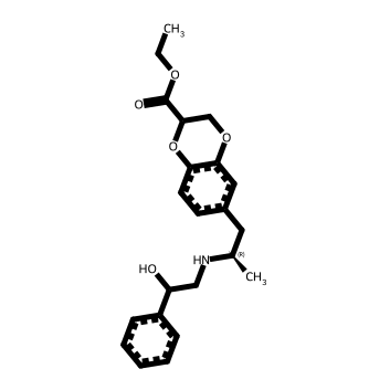 CCOC(=O)C1COc2cc(C[C@@H](C)NCC(O)c3ccccc3)ccc2O1